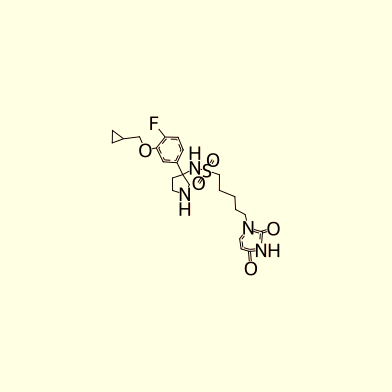 O=c1ccn(CCCCCS(=O)(=O)NC2(c3ccc(F)c(OCC4CC4)c3)CCNC2)c(=O)[nH]1